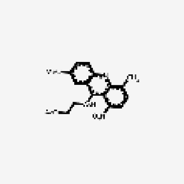 COc1ccc2nc3c(C)ccc([N+](=O)[O-])c3c([AsH]CCOC(C)=O)c2c1